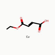 CCOC(=O)C=CC(=O)O.[Cu]